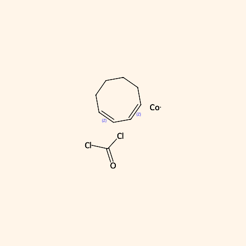 C1=C\CCCC\C=C/1.O=C(Cl)Cl.[Co]